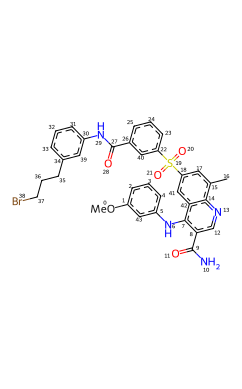 COc1cccc(Nc2c(C(N)=O)cnc3c(C)cc(S(=O)(=O)c4cccc(C(=O)Nc5cccc(CCCBr)c5)c4)cc23)c1